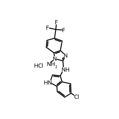 Cl.Nn1c(Nc2c[nH]c3ccc(Cl)cc23)nc2cc(C(F)(F)F)ccc21